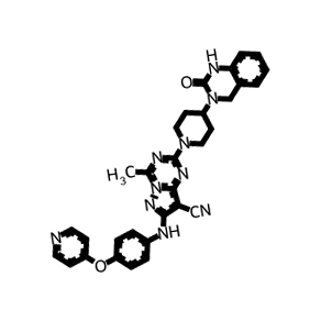 Cc1nc(N2CCC(N3Cc4ccccc4NC3=O)CC2)nc2c(C#N)c(Nc3ccc(Oc4ccncc4)cc3)nn12